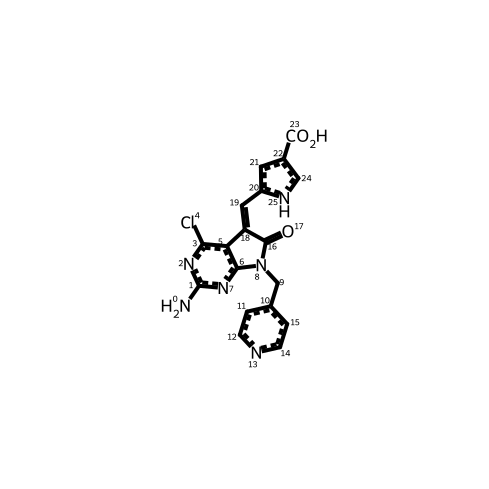 Nc1nc(Cl)c2c(n1)N(Cc1ccncc1)C(=O)C2=Cc1cc(C(=O)O)c[nH]1